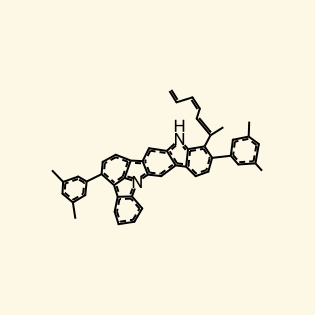 C=C/C=C\C=C(/C)c1c(-c2cc(C)cc(C)c2)ccc2c1[nH]c1cc3c4ccc(-c5cc(C)cc(C)c5)c5c6ccccc6n(c3cc12)c45